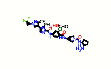 Cn1c(-c2cn(C3CC3(F)F)nc2C(F)(F)F)cnc1C(=O)Nc1ccc(C(=O)NC2C3CN(C(=O)N[C@@H]4CCC[C@@H]4N)CC32)c(Cl)c1.O=CO